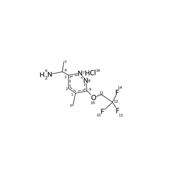 Cc1cc(C(C)N)nnc1OCC(F)(F)F.Cl